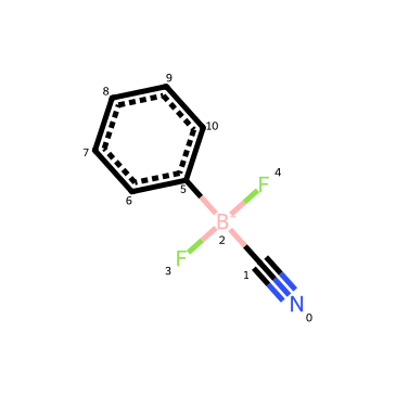 N#C[B-](F)(F)c1ccccc1